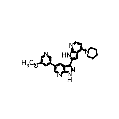 COc1cncc(-c2cnc3[nH]nc(-c4cc5c(N6CCCCC6)ccnc5[nH]4)c3c2)c1